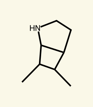 CC1C(C)C2NCCC12